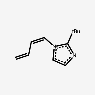 C=C/C=C\n1ccnc1C(C)(C)C